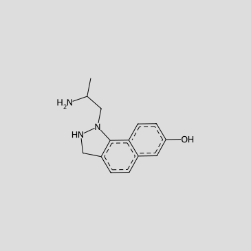 CC(N)CN1NCc2ccc3cc(O)ccc3c21